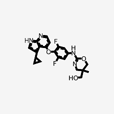 CC1(CO)CN=C(Nc2cc(F)c(Oc3ccnc4[nH]cc(C5CC5)c34)c(F)c2)OC1